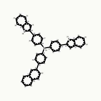 c1ccc2cc(-c3ccc(N(c4ccc(-c5cc6ccccc6s5)cc4)c4ccc(-c5cc6ccccc6s5)cc4)cc3)ccc2c1